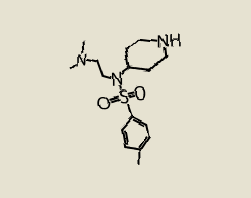 Cc1ccc(S(=O)(=O)N(CCN(C)C)C2CCNCC2)cc1